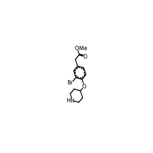 COC(=O)Cc1ccc(OC2CCNCC2)c(Br)c1